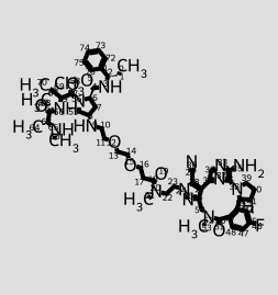 CC[C@H](NC(=O)[C@H]1C[C@@H](NCCOCCOCCC(=O)N(C)CCn2nc3c(c2C#N)-c2cnc(N)c(n2)N2CCC[C@@H]2c2cc(F)ccc2C(=O)N(C)C3)CN1C(=O)C(NC(=O)[C@@H](C)NC)C(C)(C)C)c1ccccc1